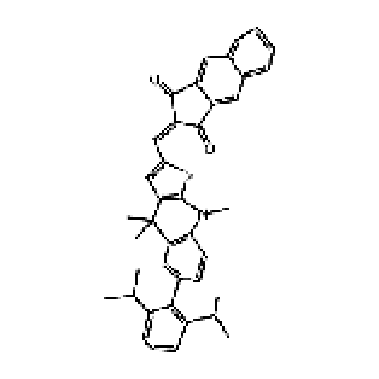 CC(C)c1cccc(C(C)C)c1-c1ccc2c(c1)C(C)(C)c1cc(C=C3C(=O)c4cc5ccccc5cc4C3=O)sc1N2C